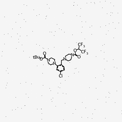 CC(C)(C)OC(=O)N1CCN(c2cc(Cl)ccc2CN2CCN(C(=O)OC(C(F)(F)F)C(F)(F)F)CC2)CC1